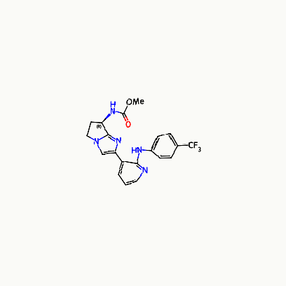 COC(=O)N[C@@H]1CCn2cc(-c3cccnc3Nc3ccc(C(F)(F)F)cc3)nc21